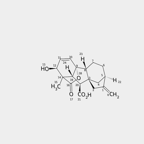 C=C1C[C@]23C[C@H]1CC[C@H]2[C@@]12C=C[C@H](O)C(C)(C(=O)O1)[C@H]2[C@@H]3C(=O)O